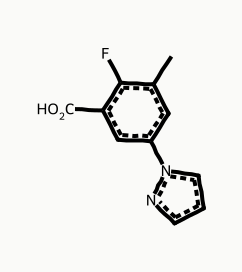 Cc1cc(-n2cccn2)cc(C(=O)O)c1F